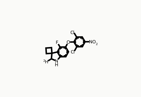 [2H]C1Nc2ccc(Oc3c(Cl)cc([N+](=O)[O-])cc3Cl)c(F)c2C12CCC2